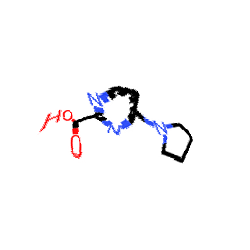 O=C(O)c1nccc(N2CCCC2)n1